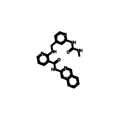 CNC(=O)Nc1cc(CNc2ncccc2C(=O)Nc2cc3ccccc3cn2)ccn1